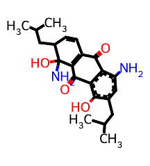 CC(C)Cc1cc(N)c2c(c1O)C(=O)C1=C(C=CC(CC(C)C)C1(N)O)C2=O